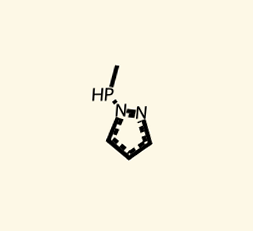 CPn1cccn1